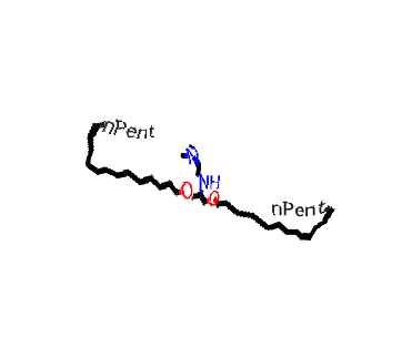 CCCCC/C=C\C/C=C\CCCCCCCCOCC(COCCCCCCCC/C=C\C/C=C\CCCCC)NCCN(C)C